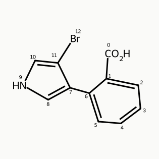 O=C(O)c1ccccc1-c1c[nH]cc1Br